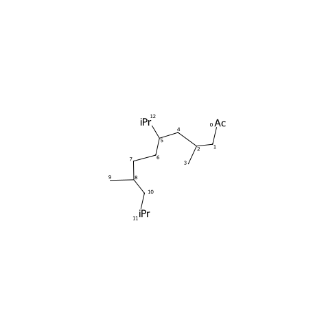 CC(=O)CC(C)CC(CCC(C)CC(C)C)C(C)C